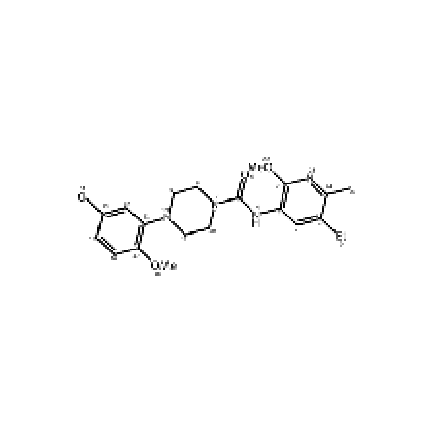 CCc1cc(NC(=O)N2CCN(c3cc(Cl)ccc3OC)CC2)c(OC)nc1C